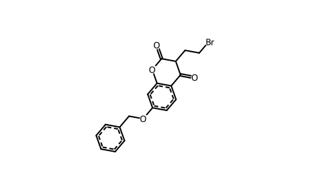 O=C1Oc2cc(OCc3ccccc3)ccc2C(=O)C1CCBr